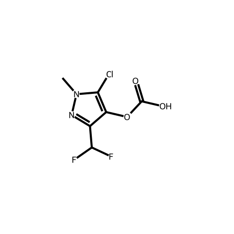 Cn1nc(C(F)F)c(OC(=O)O)c1Cl